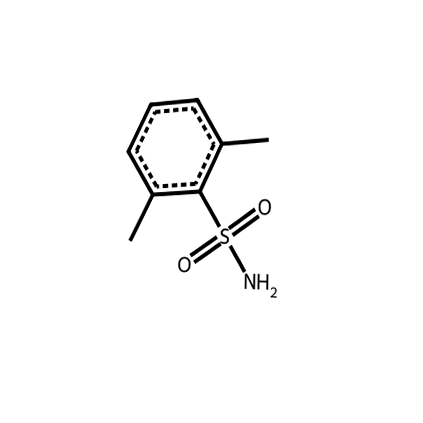 Cc1cccc(C)c1S(N)(=O)=O